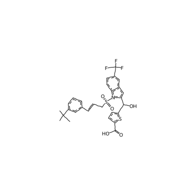 CC(C)(C)c1cccc(C=CCS(=O)(=O)n2c(C(O)c3ccc(C(=O)O)s3)cc3cc(C(F)(F)F)ccc32)c1